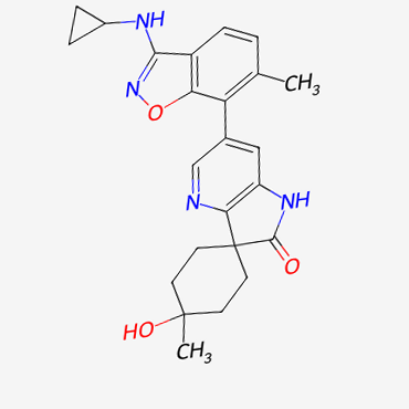 Cc1ccc2c(NC3CC3)noc2c1-c1cnc2c(c1)NC(=O)C21CCC(C)(O)CC1